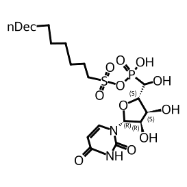 CCCCCCCCCCCCCCCCS(=O)(=O)OP(=O)(O)C(O)[C@H]1O[C@@H](n2ccc(=O)[nH]c2=O)[C@H](O)[C@@H]1O